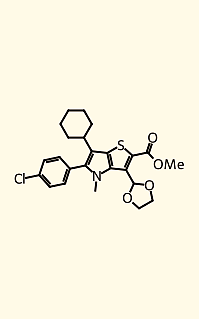 COC(=O)c1sc2c(C3CCCCC3)c(-c3ccc(Cl)cc3)n(C)c2c1C1OCCO1